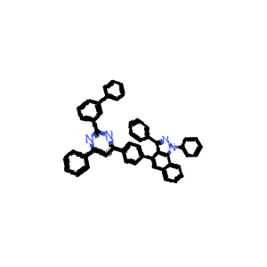 c1ccc(-c2cccc(-c3nc(-c4ccccc4)cc(-c4ccc(-c5cc6ccccc6c6c5c(-c5ccccc5)nn6-c5ccccc5)cc4)n3)c2)cc1